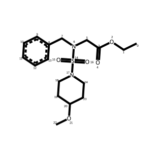 CCOC(=O)CN(Cc1ccccc1)S(=O)(=O)N1CCC(OC)CC1